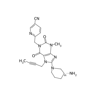 CC#CCn1c(N2CCC[C@@H](N)C2)nc2c1c(=O)n(Cc1ccc(C#N)cn1)c(=O)n2C